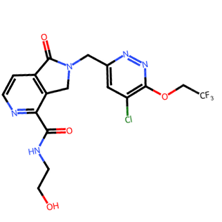 O=C(NCCO)c1nccc2c1CN(Cc1cc(Cl)c(OCC(F)(F)F)nn1)C2=O